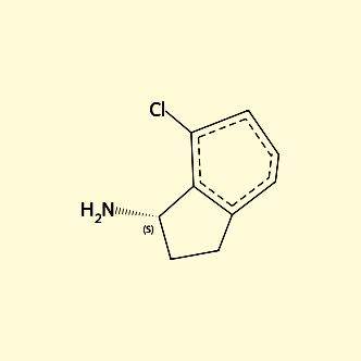 N[C@H]1CCc2cccc(Cl)c21